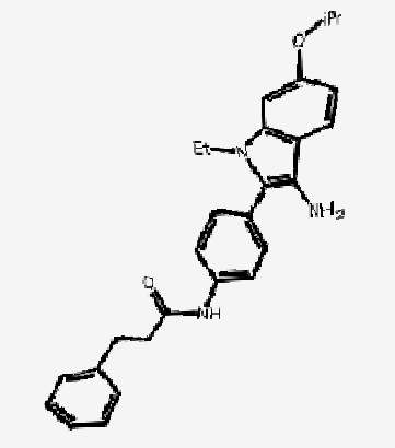 CCn1c(-c2ccc(NC(=O)CCc3ccccc3)cc2)c(N)c2ccc(OC(C)C)cc21